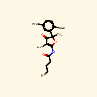 COc1ccc(OC)c(C2(C)OC(NC(=O)CCCBr)=C(OC(C)=O)C2=O)c1